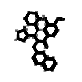 COc1ccc(C(=O)N(Cc2ccc3ccccc3c2)[C@@H](CC2CCCCC2)C2CCCN2)cc1OC